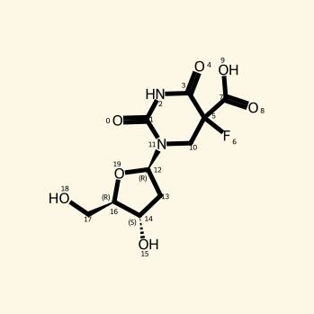 O=C1NC(=O)C(F)(C(=O)O)CN1[C@H]1C[C@H](O)[C@@H](CO)O1